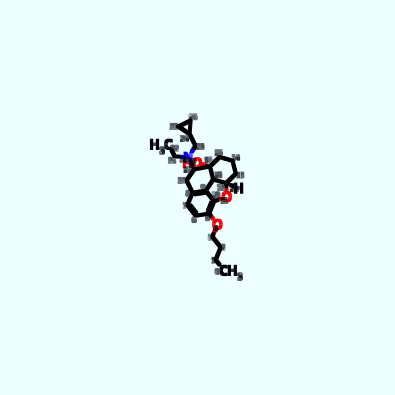 CCCCOc1ccc2c3c1O[C@H]1CCC[C@](O)(C31)[C@H](N(CC)CC1CC1)C2